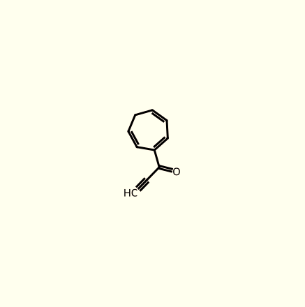 C#CC(=O)C1=CC=CCC=C1